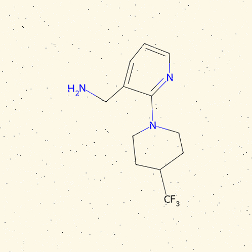 NCc1cccnc1N1CCC(C(F)(F)F)CC1